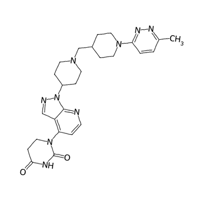 Cc1ccc(N2CCC(CN3CCC(n4ncc5c(N6CCC(=O)NC6=O)ccnc54)CC3)CC2)nn1